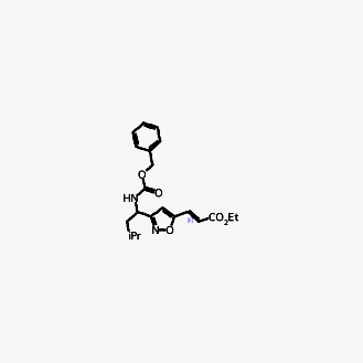 CCOC(=O)/C=C/c1cc(C(CC(C)C)NC(=O)OCc2ccccc2)no1